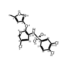 Cc1cc(Oc2ncc(Cl)cc2NS(=O)(=O)c2ccc(Cl)c(Cl)c2)no1